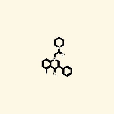 Cc1cccc2c1c(=O)c(-c1ccccc1)cn2CC(=O)N1CCCCC1